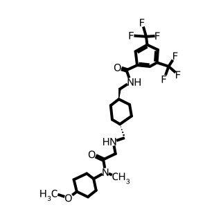 COC1CCC(N(C)C(=O)CNC[C@H]2CC[C@H](CNC(=O)c3cc(C(F)(F)F)cc(C(F)(F)F)c3)CC2)CC1